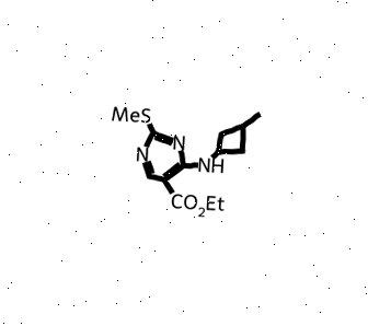 CCOC(=O)c1cnc(SC)nc1NC1CC(C)C1